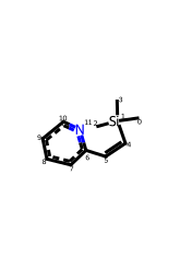 C[Si](C)(C)/C=C\c1ccccn1